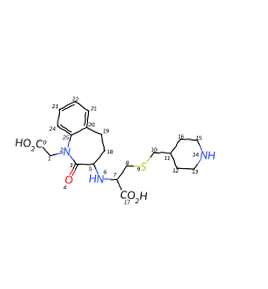 O=C(O)CN1C(=O)C(NC(CSCC2CCNCC2)C(=O)O)CCc2ccccc21